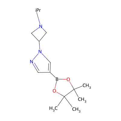 CC(C)N1CC(n2cc(B3OC(C)(C)C(C)(C)O3)cn2)C1